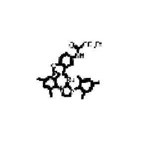 CCOC(=O)C(=O)Nc1ccc(OC(C)C)c([CH]=[Ru]=[C]2N(c3c(C)cc(C)cc3C)CCN2c2c(C)cc(C)cc2C)c1